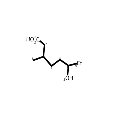 CCC(O)CCC(C)CC(=O)O